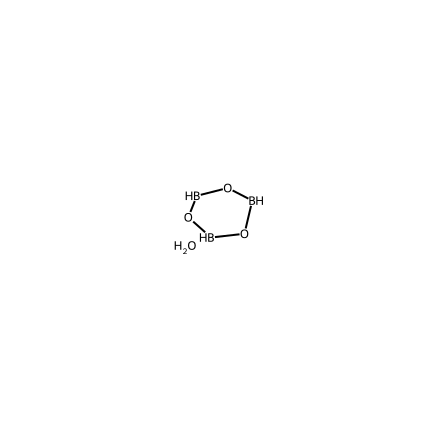 B1OBOBO1.O